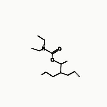 CCCC(CCC)C(C)OC(=O)N(CC)CC